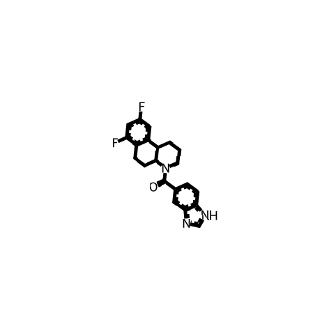 O=C(c1ccc2[nH]cnc2c1)N1CCCC2c3cc(F)cc(F)c3CCC21